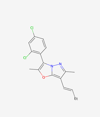 CC/C=C/c1c(C)nn2c(-c3ccc(Cl)cc3Cl)c(C)oc12